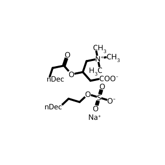 CCCCCCCCCCCC(=O)OC(CC(=O)[O-])C[N+](C)(C)C.CCCCCCCCCCCCOS(=O)(=O)[O-].[Na+]